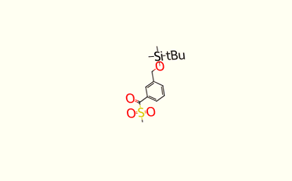 CC(C)(C)[Si](C)(C)OCc1cccc(C(=O)S(C)(=O)=O)c1